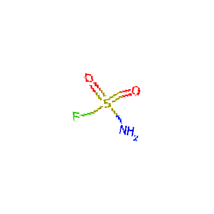 NS(=O)(=O)F